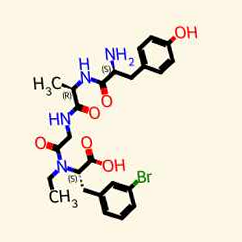 CCN(C(=O)CNC(=O)[C@@H](C)NC(=O)[C@@H](N)Cc1ccc(O)cc1)[C@@H](Cc1cccc(Br)c1)C(=O)O